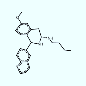 CCCCN[C@H]1Cc2cc(OC)ccc2C(c2ccc3ncccc3c2)N1